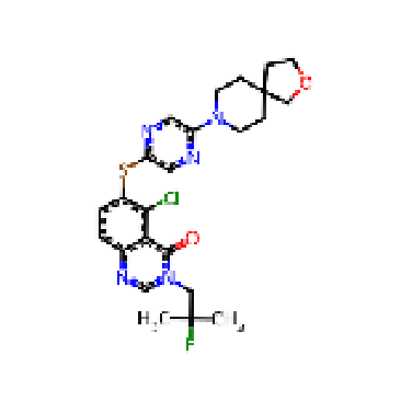 CC(C)(F)Cn1cnc2ccc(Sc3cnc(N4CCC5(CCOC5)CC4)cn3)c(Cl)c2c1=O